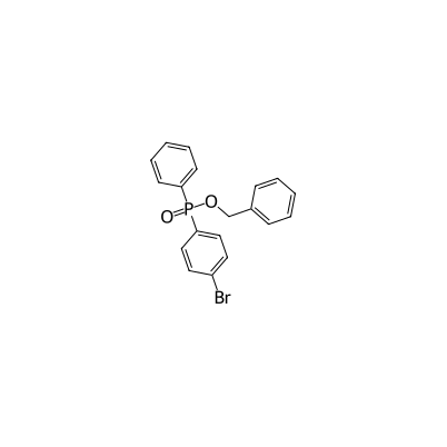 O=P(OCc1ccccc1)(c1ccccc1)c1ccc(Br)cc1